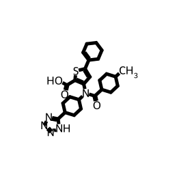 CC1CCC(C(=O)N(c2cc(C3=CCCCC3)sc2C(=O)O)C2CCC(c3nnn[nH]3)CC2)CC1